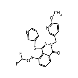 COc1ccc(Cn2nc(Sc3cccnc3)c3c(SOC(F)F)cccc3c2=O)cn1